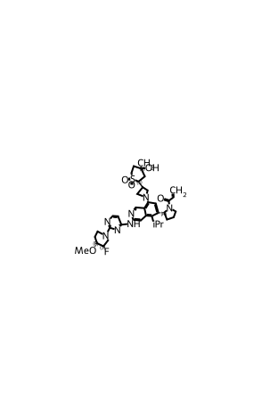 C=CC(=O)N1CCC[C@@H]1c1cc(N2CC([C@@H]3C[C@](C)(O)CCS3(=O)=O)C2)c2cnc(Nc3ccnc(N4CC[C@@H](OC)[C@@H](F)C4)n3)cc2c1C(C)C